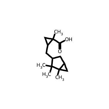 CC1(C(=O)O)CC1CC1CC2CC2(C)C1(C)C